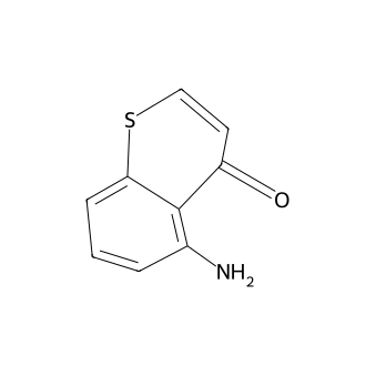 Nc1cccc2sccc(=O)c12